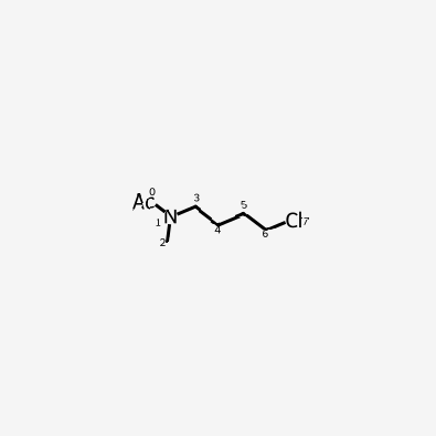 CC(=O)N(C)CCCCCl